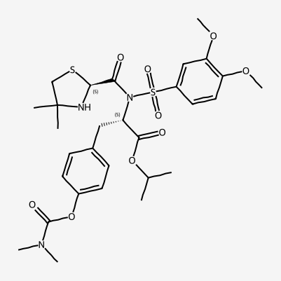 COc1ccc(S(=O)(=O)N(C(=O)[C@H]2NC(C)(C)CS2)[C@@H](Cc2ccc(OC(=O)N(C)C)cc2)C(=O)OC(C)C)cc1OC